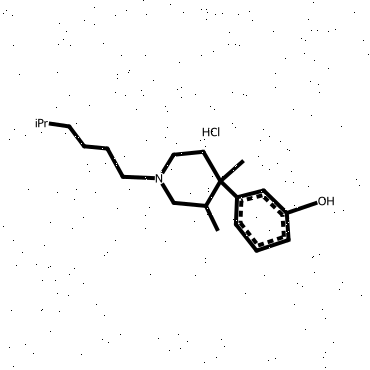 CC(C)CCCCN1CCC(C)(c2cccc(O)c2)C(C)C1.Cl